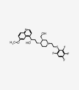 COc1ccc2nccc([C@@H](O)CC[C@@H]3CCN(CCSc4c(F)cc(F)c(F)c4F)C[C@@H]3CO)c2c1